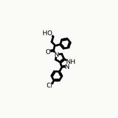 O=C(C(CCO)c1ccccc1)N1Cc2[nH]nc(-c3ccc(Cl)cc3)c2C1